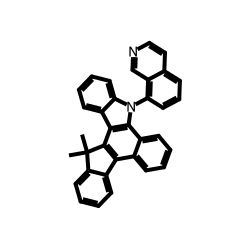 CC1(C)c2ccccc2-c2c1c1c3ccccc3n(-c3cccc4ccncc34)c1c1ccccc21